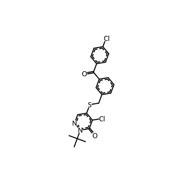 CC(C)(C)n1ncc(SCc2cccc(C(=O)c3ccc(Cl)cc3)c2)c(Cl)c1=O